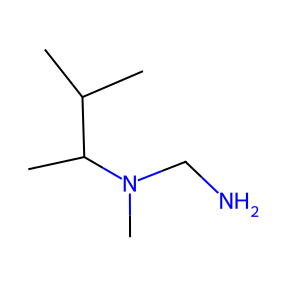 CC(C)C(C)N(C)CN